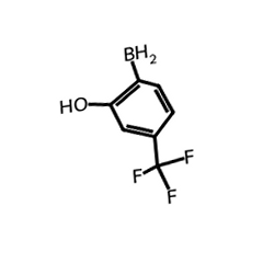 Bc1ccc(C(F)(F)F)cc1O